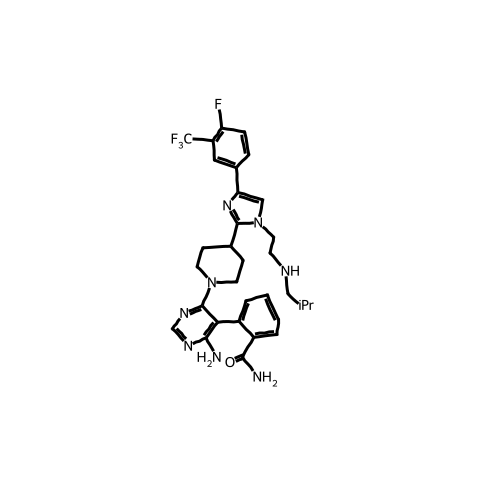 CC(C)CNCCn1cc(-c2ccc(F)c(C(F)(F)F)c2)nc1C1CCN(c2ncnc(N)c2-c2ccccc2C(N)=O)CC1